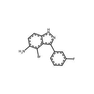 Nc1ccc2[nH]nc(-c3cccc(F)c3)c2c1Br